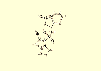 O=C1CC(NS(=O)(=O)c2c(Br)nc3n2CCS3)c2ccccc21